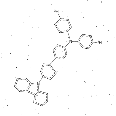 [3H]c1ccc(N(c2ccc([3H])cc2)c2ccc(-c3ccc(-n4c5ccccc5c5ccccc54)cc3)cc2)cc1